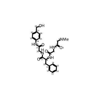 CNCC(=O)NCC(=O)NC(Cc1ccccc1)C(=O)NCC(=O)Nc1ccc(CO)cc1